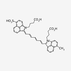 Cc1ccc2c3c(cccc13)C(/C=C/C=C/C=C/C=c1/c3cccc4c(S(=O)(=O)O)ccc(c43)n1CCCC(=O)O)=[N+]2CCCC(=O)O